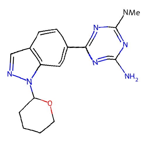 CNc1nc(N)nc(-c2ccc3cnn(C4CCCCO4)c3c2)n1